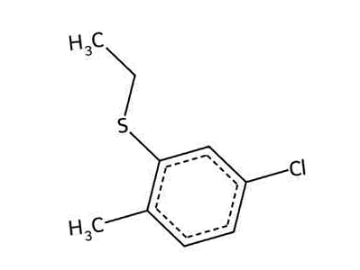 CCSc1cc(Cl)ccc1C